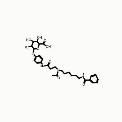 CC(=O)N(CCCCCCNC(=O)c1ccccc1)CCC(=O)Nc1ccc(OC2OC(C(=O)O)C(O)C(O)C2O)cc1